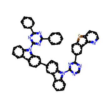 c1ccc(-c2nc(-c3ccccc3)nc(-n3c4ccccc4c4ccc(-c5ccc6c(c5)c5ccccc5n6-c5ncnc(-c6ccc7sc8cccnc8c7c6)n5)cc43)n2)cc1